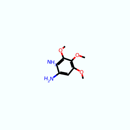 COc1cc(N)cc(OC)c1OC.N